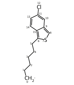 [CH2]CCCCCc1scc2cc(Cl)ccc12